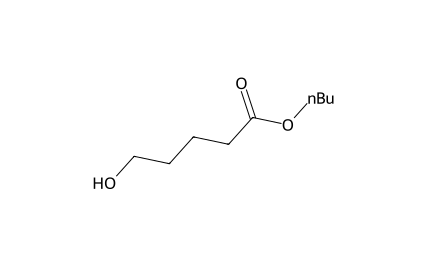 CCCCOC(=O)CCCCO